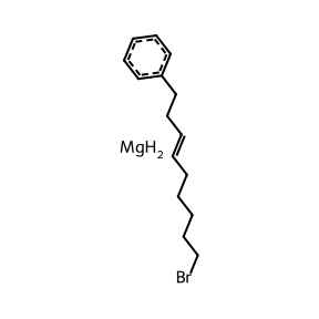 BrCCCCC/C=C/CCc1ccccc1.[MgH2]